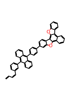 C=C/C=C\c1cccc(-c2c3ccccc3c(-c3ccc(-c4ccc5c(c4)oc4c6ccccc6c6c7ccccc7oc6c54)cc3)c3ccccc23)c1